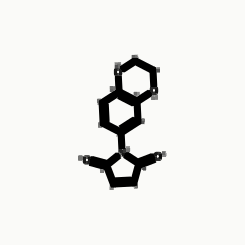 O=C1C=CC(=O)N1c1ccc2c(c1)OCCO2